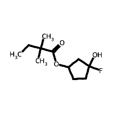 CCC(C)(C)C(=O)OC1CCC(O)(F)C1